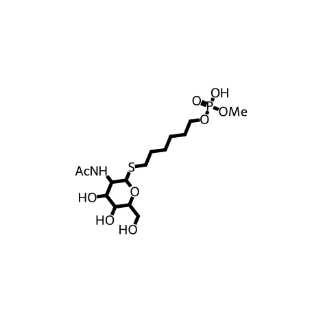 COP(=O)(O)OCCCCCCSC1OC(CO)C(O)C(O)C1NC(C)=O